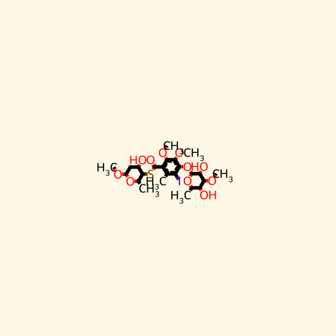 COc1c(OC2OC(C)C(O)C(OC)C2O)c(I)c(C)c(C(=O)SC2C(O)CC(OC)OC2C)c1OC